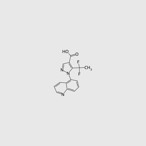 CC(F)(F)c1c(C(=O)O)cnn1-c1cccc2ncccc12